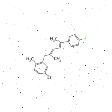 CCc1ccc(C)c(C/C(C)=C/C=C(\C)c2ccc(F)cc2)c1